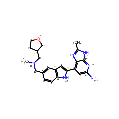 Cc1nc2c(-c3cc4cc(CN(C)CC5CCOC5)ccc4[nH]3)cc(N)nc2[nH]1